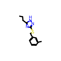 CCCc1nc(SCc2cccc(C)c2)n[nH]1